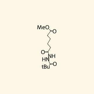 COC(=O)CCCCC(=O)NNC(=O)C(C)(C)C